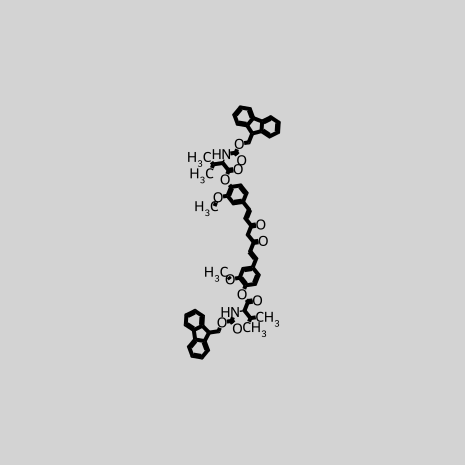 COc1cc(/C=C/C(=O)CC(=O)/C=C/c2ccc(OC(=O)[C@@H](NC(=O)OCC3c4ccccc4-c4ccccc43)C(C)C)c(OC)c2)ccc1OC(=O)[C@@H](NC(=O)OCC1c2ccccc2-c2ccccc21)C(C)C